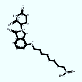 CC(C)N(CCCCCCCCSc1cccc2c1CN(C1CCC(=O)NC1=O)C2=O)C(C)C